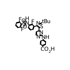 CC(C)(C)c1nc(-c2cccc(NS(=O)(=O)c3c(F)cccc3F)c2F)c(-c2ccnc(Nc3ccc(C(=O)O)cc3)n2)s1